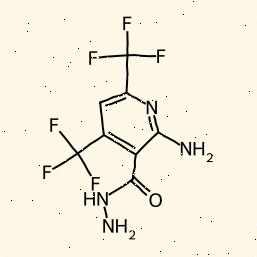 NNC(=O)c1c(C(F)(F)F)cc(C(F)(F)F)nc1N